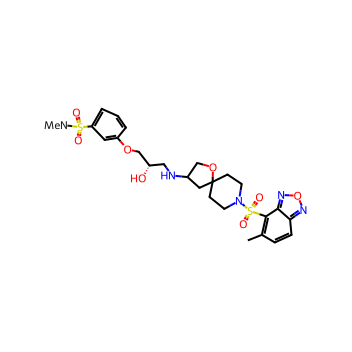 CNS(=O)(=O)c1cccc(OC[C@@H](O)CNC2COC3(CCN(S(=O)(=O)c4c(C)ccc5nonc45)CC3)C2)c1